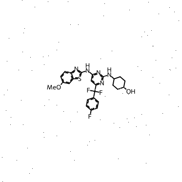 COc1ccc2nc(Nc3cc(C(F)(F)c4ccc(F)cc4)nc(NC4CCC(O)CC4)n3)sc2c1